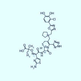 CC(C)(O/N=C(\C(=O)N[C@@H]1C(=O)N2C(c3nn[nH]n3)=C(C[N+]3(Cc4nnc(-c5ccc(O)c(O)c5Cl)o4)CCCC3)CS[C@H]12)c1csc(N)n1)C(=O)O